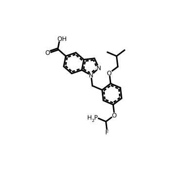 CC(C)COc1ccc(OC(F)P)cc1Cn1ncc2cc(C(=O)O)ccc21